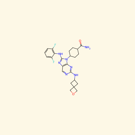 NC(=O)C1CCC(n2c(Nc3c(F)cccc3F)nc3cnc(NC4CC5(COC5)C4)nc32)CC1